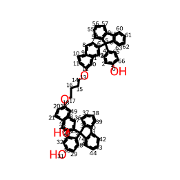 Oc1ccc(C2(c3ccc4ccc(OCCCCOc5ccc6ccc(C7(c8ccc(O)cc8O)c8ccccc8-c8ccccc87)cc6c5)cc4c3)c3ccccc3-c3ccccc32)cc1